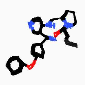 CSCC(=O)N1CCC[C@H]1CNc1ccncc1C(=N)c1ccc(Oc2ccccc2)cc1